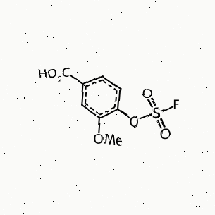 COc1cc(C(=O)O)ccc1OS(=O)(=O)F